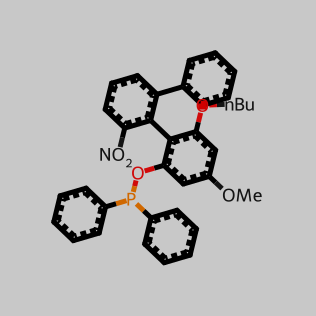 CCCCOc1cc(OC)cc(OP(c2ccccc2)c2ccccc2)c1-c1c(-c2ccccc2)cccc1[N+](=O)[O-]